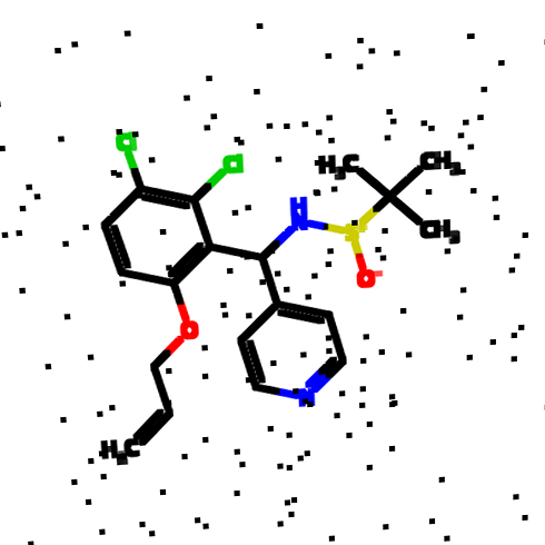 C=CCOc1ccc(Cl)c(Cl)c1C(N[S+]([O-])C(C)(C)C)c1ccncc1